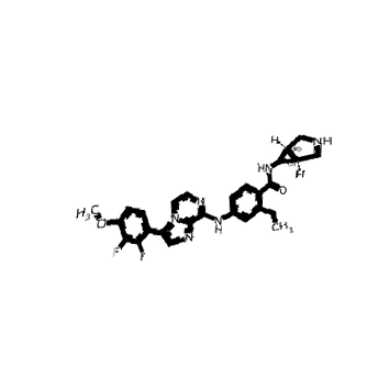 CCc1cc(Nc2nccn3c(-c4ccc(OC)c(F)c4F)cnc23)ccc1C(=O)NC1[C@H]2CNC[C@@H]12